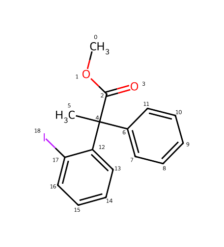 COC(=O)C(C)(c1ccccc1)c1ccccc1I